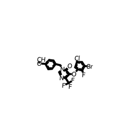 COc1ccc(Cn2cnc(C(F)(F)F)c(Oc3cc(Cl)cc(Br)c3F)c2=O)cc1